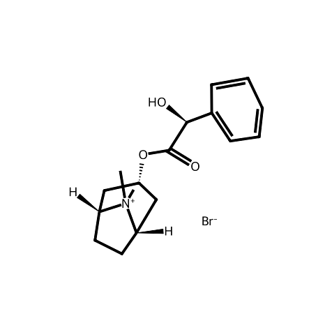 C[N+]1(C)[C@@H]2CC[C@H]1C[C@@H](OC(=O)[C@@H](O)c1ccccc1)C2.[Br-]